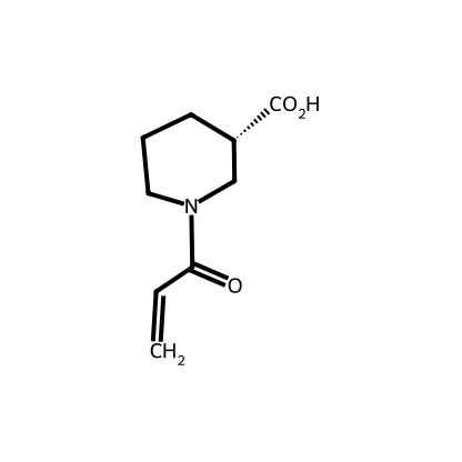 C=CC(=O)N1CCC[C@H](C(=O)O)C1